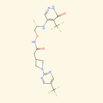 C[C@@H](CONC(=O)CC1CN(c2ncc(C(F)(F)F)cn2)C1)Nc1cn[nH]c(=O)c1C(F)(F)F